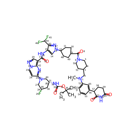 CN(CC1CCN(C(=O)C2CCC(n3cc(NC(=O)c4cnn5ccc(N6C[C@H](F)C[C@@H](NC(=O)OC(C)(C)C)C6)nc45)c(C(F)F)n3)CC2)CC1)c1cccc(C2CCC(=O)NC2=O)c1